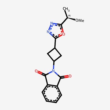 CO[C@H](C)c1nnc(C2CC(N3C(=O)c4ccccc4C3=O)C2)o1